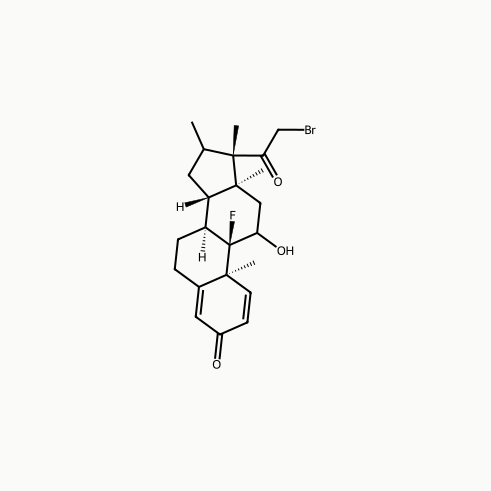 CC1C[C@H]2[C@@H]3CCC4=CC(=O)C=C[C@]4(C)[C@@]3(F)C(O)C[C@]2(C)[C@@]1(C)C(=O)CBr